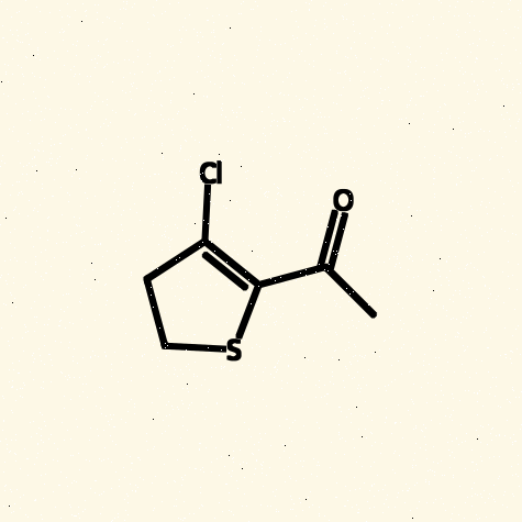 CC(=O)C1=C(Cl)CCS1